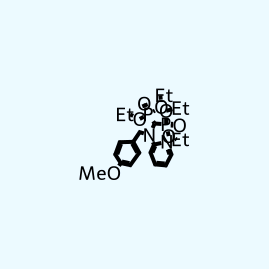 CCOP(=O)(OCC)C(N(Cc1ccc(OC)cc1)c1ccccn1)P(=O)(OCC)OCC